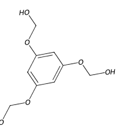 OCOc1cc(OCO)cc(OCO)c1